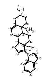 C[C@]12CC[C@@H](O)CC1=CCC1C2CC[C@]2(C)C(n3ccc4ccccc43)=CCC12